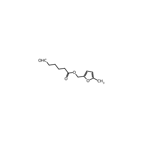 Cc1ccc(COC(=O)CCCCC=O)o1